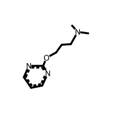 CN(C)CCCOc1ncccn1